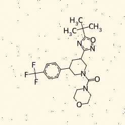 CC(C)(C)c1nc(C2CC(c3ccc(C(F)(F)F)cc3)CN(C(=O)N3CCOCC3)C2)no1